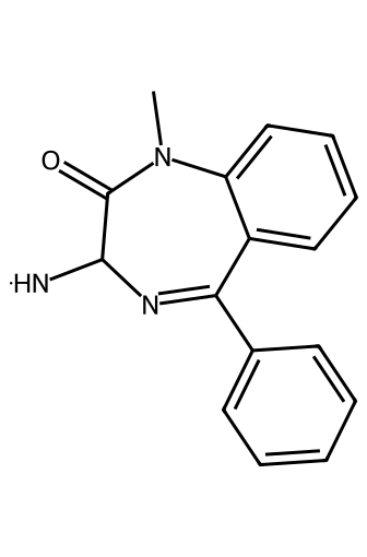 CN1C(=O)C([NH])N=C(c2ccccc2)c2ccccc21